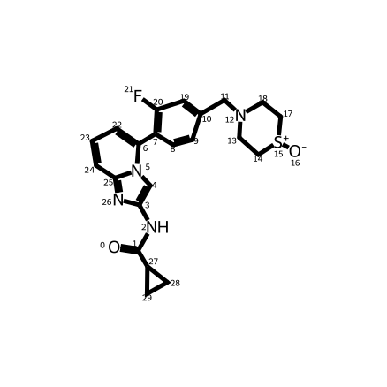 O=C(Nc1cn2c(-c3ccc(CN4CC[S+]([O-])CC4)cc3F)cccc2n1)C1CC1